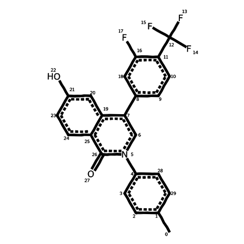 Cc1ccc(-n2cc(-c3ccc(C(F)(F)F)c(F)c3)c3cc(O)ccc3c2=O)cc1